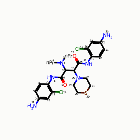 CCCN(CCC)C(C(=O)Nc1ccc(N)cc1Cl)C(C(=O)Nc1ccc(N)cc1Cl)N1CCSCC1